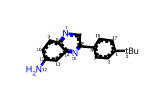 CC(C)(C)c1ccc(-c2cnc3ccc(N)cc3n2)cc1